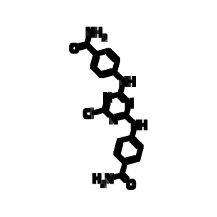 NC(=O)c1ccc(Nc2nc(Cl)nc(Nc3ccc(C(N)=O)cc3)n2)cc1